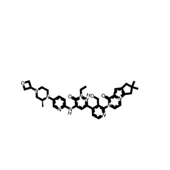 CCn1nc(-c2ccnc(-n3ccn4c5c(cc4c3=O)CC(C)(C)C5)c2CO)cc(Nc2ccc(N3CCN(C4COC4)C[C@@H]3C)cn2)c1=O